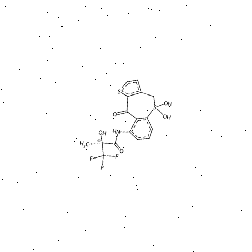 C[C@](O)(C(=O)Nc1cccc2c1C(=O)c1sccc1CS2(O)O)C(F)(F)F